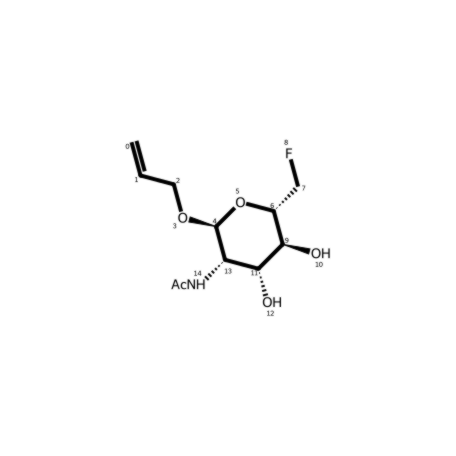 C=CCO[C@H]1O[C@H](CF)[C@@H](O)[C@H](O)[C@@H]1NC(C)=O